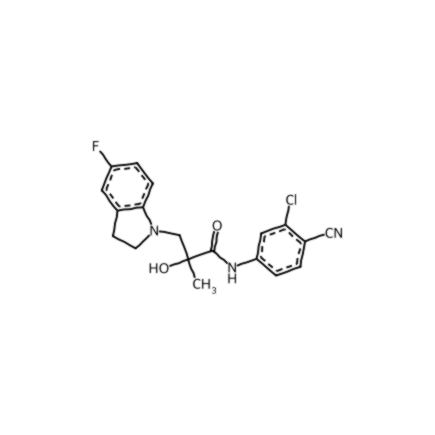 CC(O)(CN1CCc2cc(F)ccc21)C(=O)Nc1ccc(C#N)c(Cl)c1